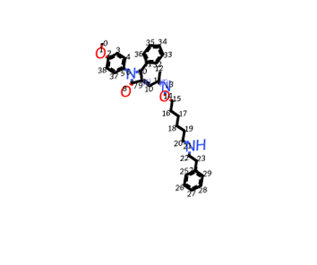 COc1ccc(N2C(=O)/C(=C/C(C)=N\OCCCCCCNCCc3ccccc3)C2c2ccccc2)cc1